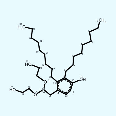 CCCCCCCCCc1c(O)ccc(CN(OCCO)OCCO)c1CCCCCCCCC